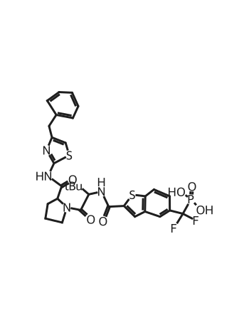 CC(C)(C)C(NC(=O)c1cc2cc(C(F)(F)P(=O)(O)O)ccc2s1)C(=O)N1CCCC1C(=O)Nc1nc(Cc2ccccc2)cs1